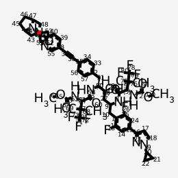 COC(=O)N[C@H](C(=O)NC(Cc1c(F)cc(-c2ccn(C3CC3)n2)cc1F)C[C@H](O)[C@H](Cc1ccc(C#Cc2ccc(N3CC4CCC(C3)N4C3COC3)nc2)cc1)NC(=O)[C@@H](NC(=O)OC)C(C)(C)C(F)(F)F)C(C)(C)C(F)(F)F